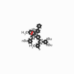 CCCCc1cc(I)cc(-c2nc(-c3cc(C)cc(C(C)(C)C)c3)nc(-c3cc(-c4cc(-c5cc(C)cc(I)c5)nc(-c5cc(CCCC)cc(C(C)(C)C)c5)n4)ccc3-n3c4ccccc4c4cc(-c5ccccc5)ccc43)n2)c1